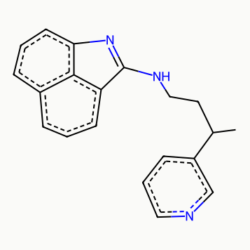 CC(CCNC1=Nc2cccc3cccc1c23)c1cccnc1